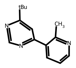 Cc1ncccc1-c1cc(C(C)(C)C)ncn1